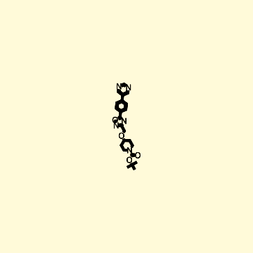 CC(C)(C)OC(=O)N1CCC(OCc2noc(-c3ccc(-c4cncnc4)cc3)n2)CC1